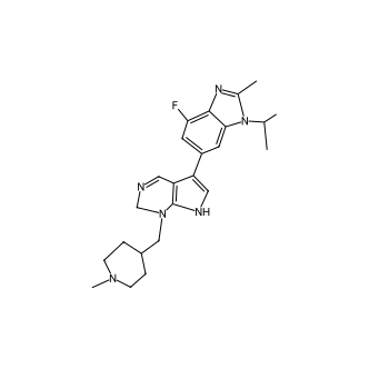 Cc1nc2c(F)cc(-c3c[nH]c4c3C=NCN4CC3CCN(C)CC3)cc2n1C(C)C